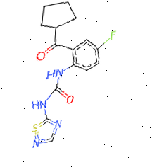 O=C(Nc1ncns1)Nc1ccc(F)cc1C(=O)C1CCCC1